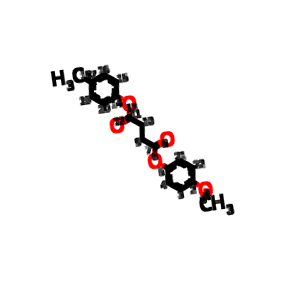 COc1ccc(OC(=O)CCC(=O)Oc2ccc(C)cc2)cc1